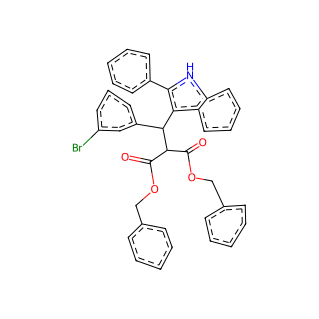 O=C(OCc1ccccc1)C(C(=O)OCc1ccccc1)C(c1cccc(Br)c1)c1c(-c2ccccc2)[nH]c2ccccc12